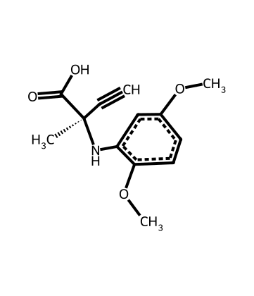 C#C[C@@](C)(Nc1cc(OC)ccc1OC)C(=O)O